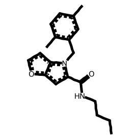 CCCCNC(=O)c1cc2occc2n1Cc1cc(C)ccc1C